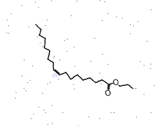 [CH2]CCOC(=O)CCCCCCC/C=C\CCCCCCCC